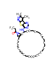 Cc1nnc2sc3c(NC4CCCCCCCCCCCCCCCCCCCCCCCCCCCCC5(C4)CN(C(=O)CC(F)(F)F)C5)ncnc3c2c1C